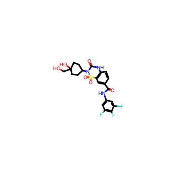 O=C(Nc1cc(F)c(F)c(F)c1)c1ccc2c(c1)S(=O)(=O)N(C1CCC(O)(CO)CC1)C(=O)N2